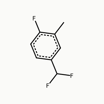 Cc1cc(C(F)F)ccc1F